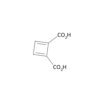 O=C(O)C1=CC=C1C(=O)O